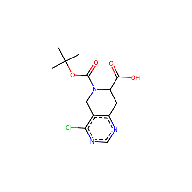 CC(C)(C)OC(=O)N1Cc2c(Cl)ncnc2CC1C(=O)O